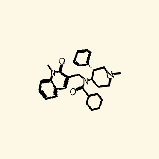 CN1CC[C@@H](N(Cc2cc3ccccc3n(C)c2=O)C(=O)C2CCCCC2)[C@H](c2ccccc2)C1